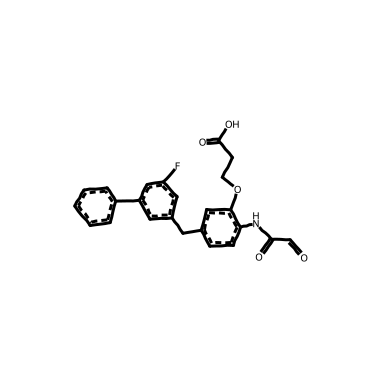 O=CC(=O)Nc1ccc(Cc2cc(F)cc(-c3ccccc3)c2)cc1OCCC(=O)O